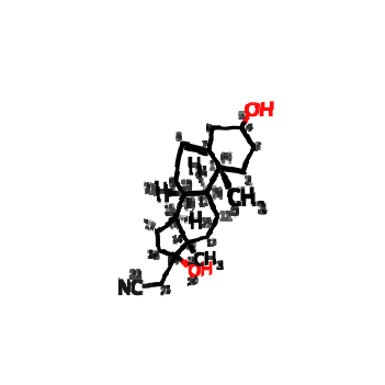 C[C@]12CCC(O)CC1=CC[C@@H]1[C@@H]2CC[C@@]2(C)[C@H]1CC[C@@]2(O)CC#N